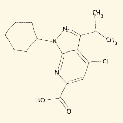 CC(C)c1nn(C2CCCCC2)c2nc(C(=O)O)cc(Cl)c12